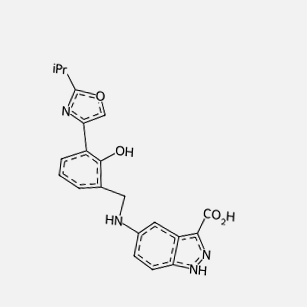 CC(C)c1nc(-c2cccc(CNc3ccc4[nH]nc(C(=O)O)c4c3)c2O)co1